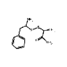 CC(SSC(N)Cc1ccccc1)C(N)=O